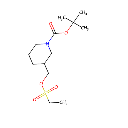 CCS(=O)(=O)OCC1CCCN(C(=O)OC(C)(C)C)C1